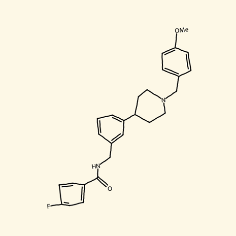 COc1ccc(CN2CCC(c3cccc(CNC(=O)c4ccc(F)cc4)c3)CC2)cc1